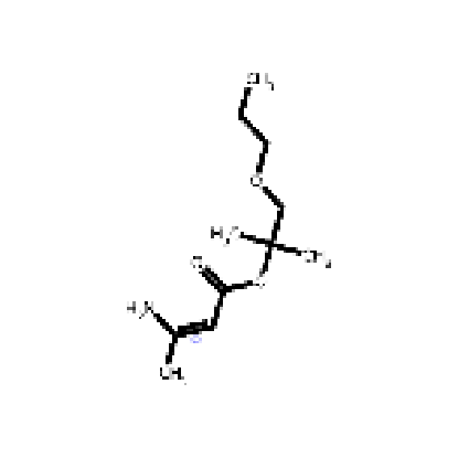 CCCOCC(C)(C)OC(=O)/C=C(/C)N